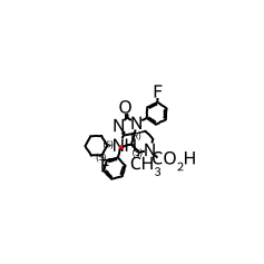 C[C@H]1C(Cc2ccccc2)[C@]2(CCN1C(=O)O)C(N[C@H]1CCCC[C@@H]1F)=NC(=O)N2c1cccc(F)c1